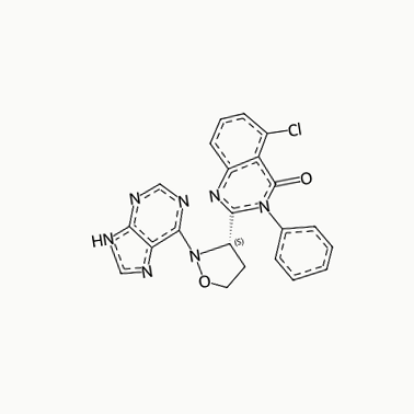 O=c1c2c(Cl)cccc2nc([C@@H]2CCON2c2ncnc3[nH]cnc23)n1-c1ccccc1